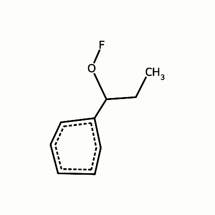 CCC(OF)c1ccccc1